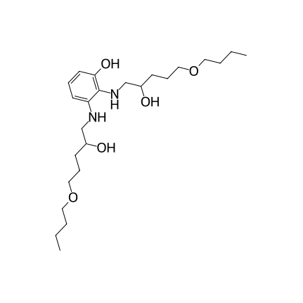 CCCCOCCCC(O)CNc1cccc(O)c1NCC(O)CCCOCCCC